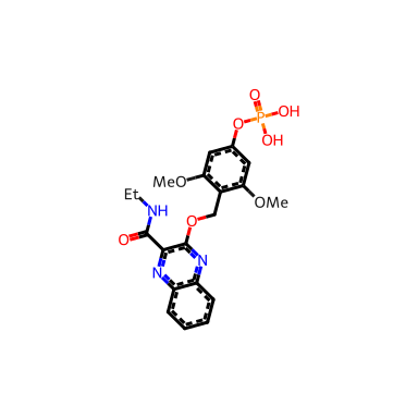 CCNC(=O)c1nc2ccccc2nc1OCc1c(OC)cc(OP(=O)(O)O)cc1OC